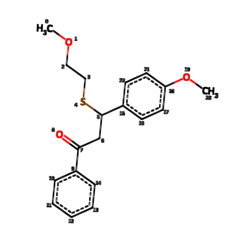 COCCSC(CC(=O)c1ccccc1)c1ccc(OC)cc1